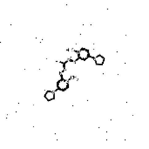 CCC(N=Nc1cc(N2CCCC2)cc[n+]1C)=NN=c1cc(N2CCCC2)ccn1C